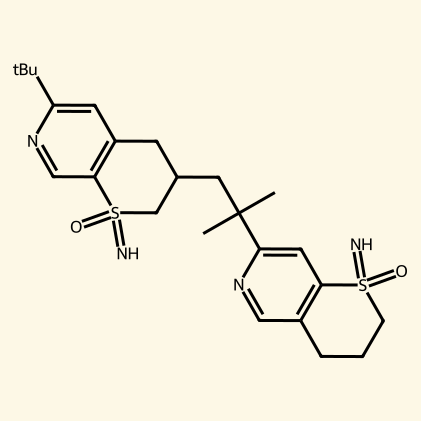 CC(C)(C)c1cc2c(cn1)S(=N)(=O)CC(CC(C)(C)c1cc3c(cn1)CCCS3(=N)=O)C2